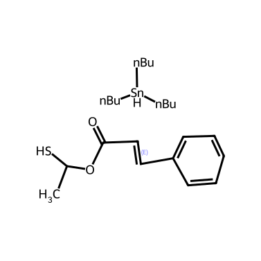 CC(S)OC(=O)/C=C/c1ccccc1.CCC[CH2][SnH]([CH2]CCC)[CH2]CCC